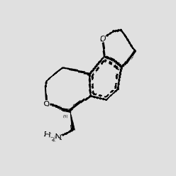 NC[C@H]1OCCc2c1ccc1c2OCC1